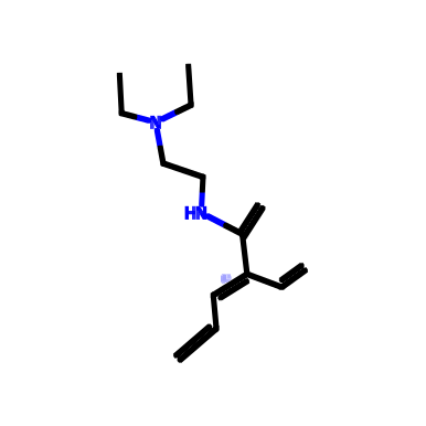 C=C/C=C(\C=C)C(=C)NCCN(CC)CC